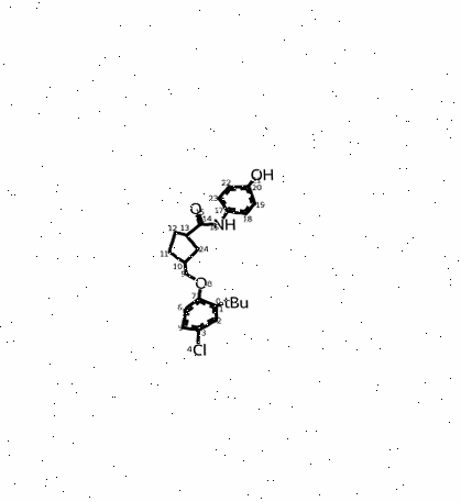 CC(C)(C)c1cc(Cl)ccc1OCC1CCC(C(=O)Nc2ccc(O)cc2)C1